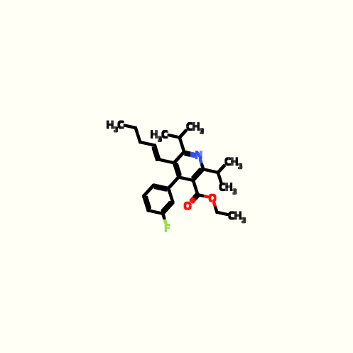 CCCC=Cc1c(C(C)C)nc(C(C)C)c(C(=O)OCC)c1-c1cccc(F)c1